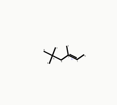 C/C=C(\C)CC(C)(C)C